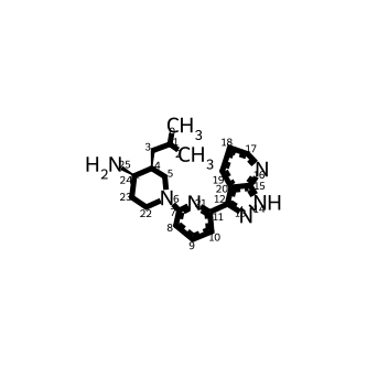 CC(C)C[C@H]1CN(c2cccc(-c3n[nH]c4ncccc34)n2)CC[C@H]1N